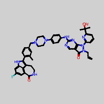 C=CCn1c(=O)c2cnc(Nc3ccc(N4CCN(Cc5ccc(-c6[nH]c7cc(F)cc8c7c6CCNC8=O)c(C)c5)CC4)cc3)nc2n1-c1cccc(C(C)(C)O)n1